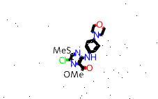 COC(=O)c1nc(Cl)c(SC)nc1Nc1ccc(N2CCOCC2)cc1